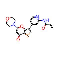 C=CC(=O)Nc1cc(-c2csc3c(=O)cc(N4CCOCC4)oc23)ccn1